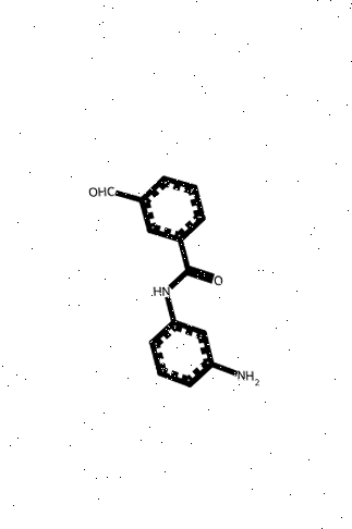 Nc1cccc(NC(=O)c2cccc(C=O)c2)c1